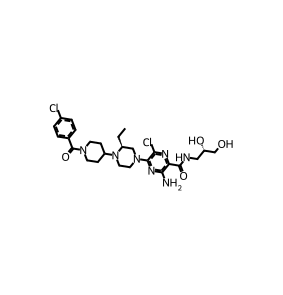 CC[C@H]1CN(c2nc(N)c(C(=O)NC[C@H](O)CO)nc2Cl)CCN1C1CCN(C(=O)c2ccc(Cl)cc2)CC1